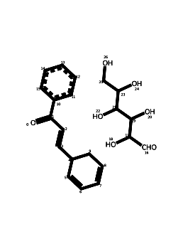 O=C(C=CC1C=CC=CC1)c1ccccc1.O=CC(O)C(O)C(O)C(O)CO